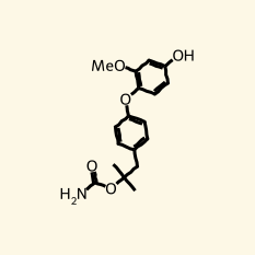 COc1cc(O)ccc1Oc1ccc(CC(C)(C)OC(N)=O)cc1